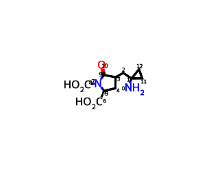 NC1(CC2C[C@@H](C(=O)O)N(C(=O)O)C2=O)CC1